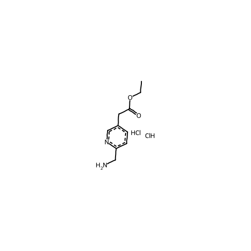 CCOC(=O)Cc1ccc(CN)nc1.Cl.Cl